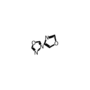 c1cocn1.c1nnco1